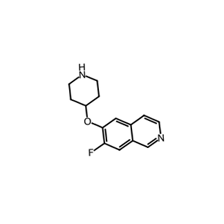 Fc1cc2cnccc2cc1OC1CCNCC1